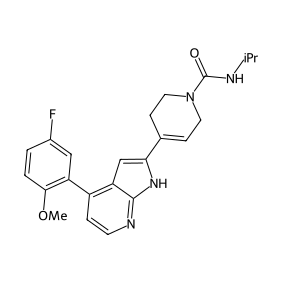 COc1ccc(F)cc1-c1ccnc2[nH]c(C3=CCN(C(=O)NC(C)C)CC3)cc12